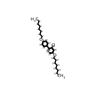 CCCCCCCCOc1ccc(-c2ncc(OCCCCCCCC)cc2Cl)cc1